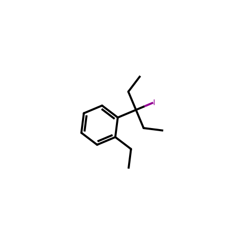 CCc1ccccc1C(I)(CC)CC